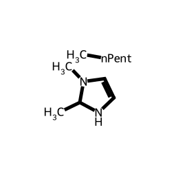 CC1NC=CN1C.CCCCCC